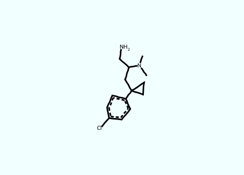 CN(C)C(CN)CC1(c2ccc(Cl)cc2)CC1